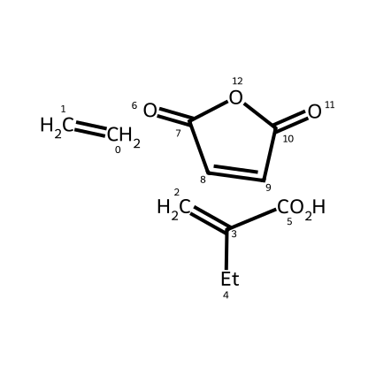 C=C.C=C(CC)C(=O)O.O=C1C=CC(=O)O1